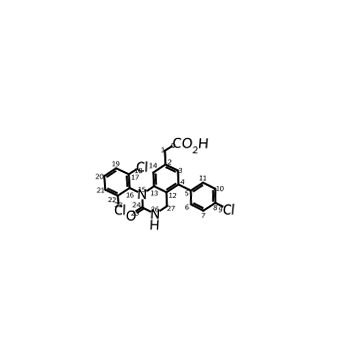 O=C(O)Cc1cc(-c2ccc(Cl)cc2)c2c(c1)N(c1c(Cl)cccc1Cl)C(=O)NC2